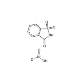 O=C1NS(=O)(=O)c2ccccc21.O=[N+]([O-])O